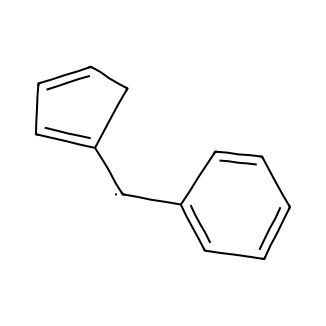 [CH](C1=CC=CC1)c1ccccc1